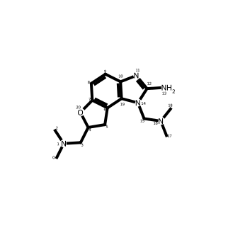 CN(C)CC1Cc2c(ccc3nc(N)n(CN(C)C)c23)O1